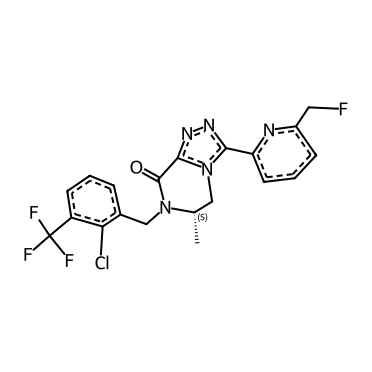 C[C@H]1Cn2c(nnc2-c2cccc(CF)n2)C(=O)N1Cc1cccc(C(F)(F)F)c1Cl